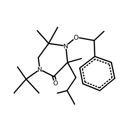 CC(C)CC1(C)C(=O)N(C(C)(C)C)CC(C)(C)N1OC(C)c1ccccc1